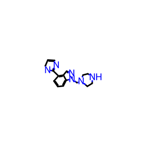 c1cnc(-c2cccc3c2cnn3CN2CCNCC2)nc1